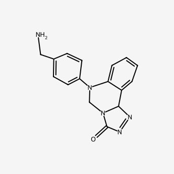 NCc1ccc(N2CN3C(=O)N=NC3c3ccccc32)cc1